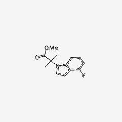 COC(=O)C(C)(C)n1ccc2c(F)cccc21